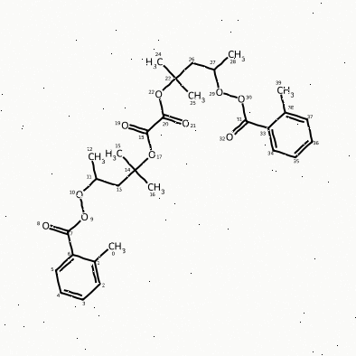 Cc1ccccc1C(=O)OOC(C)CC(C)(C)OC(=O)C(=O)OC(C)(C)CC(C)OOC(=O)c1ccccc1C